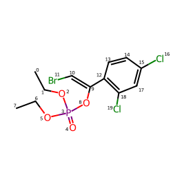 CCOP(=O)(OCC)OC(=CBr)c1ccc(Cl)cc1Cl